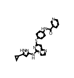 O=C(Nc1ccc(Sc2cc3nccn3c(Nc3cc(C4CC4)[nH]n3)n2)cc1)c1cccnc1